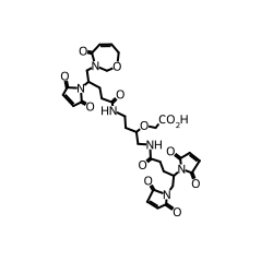 O=C(O)COC(CCNC(=O)CCC(CN1COCC=CC1=O)N1C(=O)C=CC1=O)CNC(=O)CCC(CN1C(=O)C=CC1=O)N1C(=O)C=CC1=O